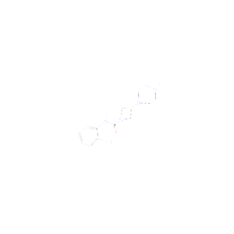 CN1CCN(C2CN(C(=O)Nc3ccccc3Cl)C2)CC1